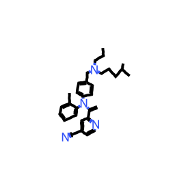 C=C(c1cc(C#N)ccn1)N(c1ccc(CN(CCC)CCCC(C)C)cc1)c1ccccc1C